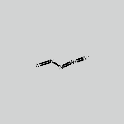 [N]=NN=[N+]=[N-]